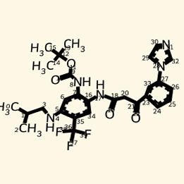 CC(C)CNc1cc(NC(=O)OC(C)(C)C)c(NC(=O)CC(=O)c2cccc(-n3ccnc3)c2)cc1C(F)(F)F